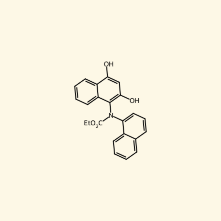 CCOC(=O)N(c1cccc2ccccc12)c1c(O)cc(O)c2ccccc12